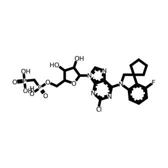 O=P(O)(O)CP(=O)(O)OCC1OC(n2cnc3c(N4CC5(CCCC5)c5c(F)cccc54)nc(Cl)nc32)C(O)C1O